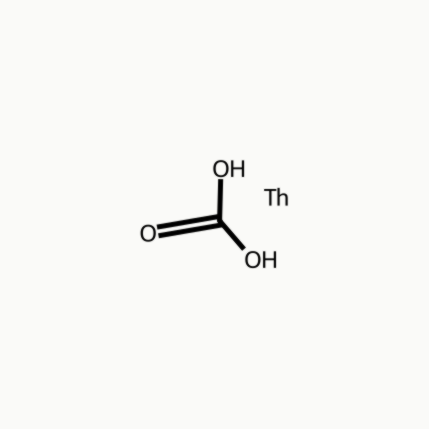 O=C(O)O.[Th]